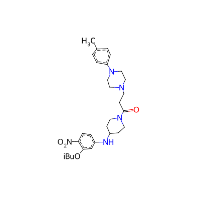 Cc1ccc(N2CCN(CCC(=O)N3CCC(Nc4ccc([N+](=O)[O-])c(OCC(C)C)c4)CC3)CC2)cc1